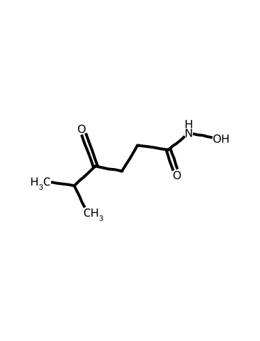 CC(C)C(=O)CCC(=O)NO